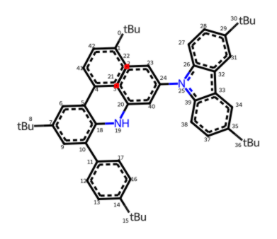 CC(C)(C)c1ccc(-c2cc(C(C)(C)C)cc(-c3ccc(C(C)(C)C)cc3)c2Nc2cccc(-n3c4ccc(C(C)(C)C)cc4c4cc(C(C)(C)C)ccc43)c2)cc1